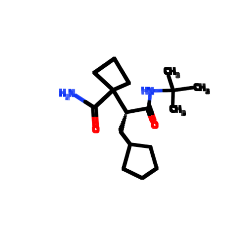 CC(C)(C)NC(=O)[C@H](CC1CCCC1)C1(C(N)=O)CCC1